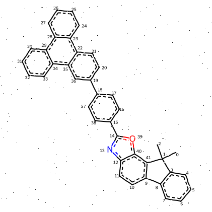 CC1(C)c2ccccc2-c2ccc3nc(-c4ccc(-c5ccc6c7ccccc7c7ccccc7c6c5)cc4)oc3c21